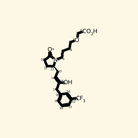 O=C(O)COCCCCN1C(=O)CC[C@@H]1C/C=C(\O)Cc1cccc(C(F)(F)F)c1